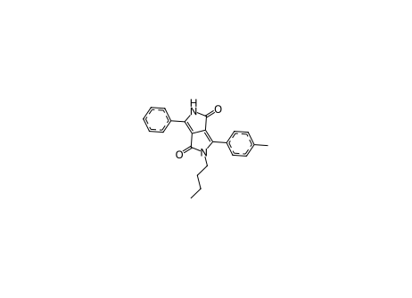 CCCCN1C(=O)C2=C(c3ccccc3)NC(=O)C2=C1c1ccc(C)cc1